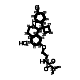 CN(C)S(=O)(=O)NCCOc1ccc2c(c1)C(C1(c3ccc(Cl)cc3)CCC1)NCC2.Cl